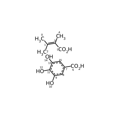 CC(C)=C(C)C(=O)O.O=C(O)c1cc(O)c(O)c(O)c1